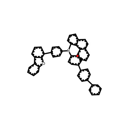 c1ccc(-c2ccc(-c3ccc(N(c4ccc(-c5cccc6c5oc5ccccc56)cc4)c4cccc5ccc6ccccc6c45)cc3)cc2)cc1